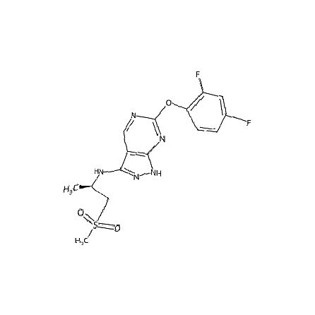 C[C@H](CS(C)(=O)=O)Nc1n[nH]c2nc(Oc3ccc(F)cc3F)ncc12